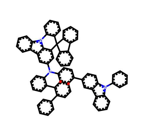 c1ccc(-c2ccccc2-c2ccccc2N(c2ccc(-c3ccc4c(c3)c3ccccc3n4-c3ccccc3)cc2)c2cc3c4c(c2)c2ccccc2n4-c2ccccc2C32c3ccccc3-c3ccccc32)cc1